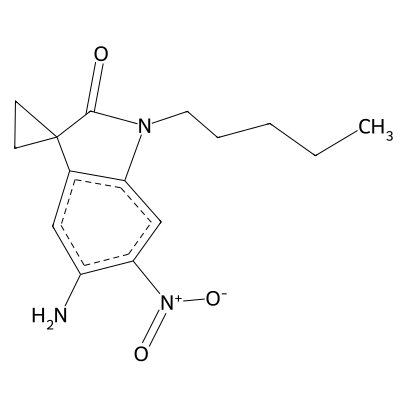 CCCCCN1C(=O)C2(CC2)c2cc(N)c([N+](=O)[O-])cc21